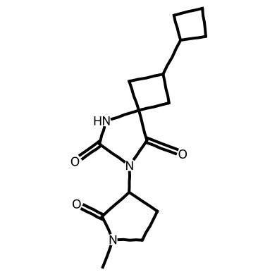 CN1CCC(N2C(=O)NC3(CC(C4CCC4)C3)C2=O)C1=O